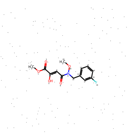 COC(=O)/C(O)=C/C(=O)N(Cc1cccc(F)c1)OC